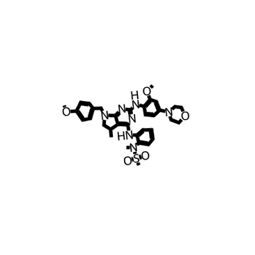 COc1ccc(CN2CC(C)c3c(Nc4ccccc4N(C)S(C)(=O)=O)nc(Nc4ccc(N5CCOCC5)cc4OC)nc32)cc1